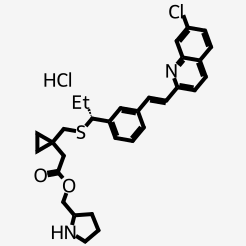 CC[C@@H](SCC1(CC(=O)OCC2CCCN2)CC1)c1cccc(C=Cc2ccc3ccc(Cl)cc3n2)c1.Cl